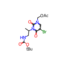 CC(=O)OCn1cc(Br)c(=O)n(C(C)CNC(=O)OC(C)(C)C)c1=O